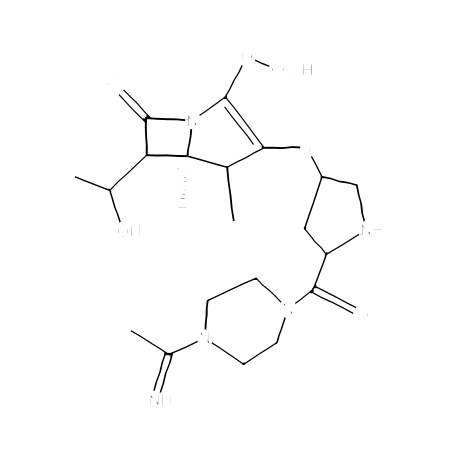 CC(=N)N1CCN(C(=O)C2CC(SC3=C(OC(=O)O)N4C(=O)C(C(C)O)[C@@H]4C3C)CN2)CC1